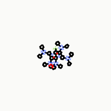 FC(F)(F)c1ccc(-c2ccc(-c3nc(-c4ccccc4)nc(-c4ccccc4)n3)cc2-n2c3ccc(-c4nc(-c5ccccc5)nc(-c5ccccc5)n4)cc3c3cc(-c4nc(-c5ccccc5)nc(-c5ccccc5)n4)ccc32)c(-n2c3ccc(-c4nc(-c5ccccc5)nc(-c5ccccc5)n4)cc3c3cc(-c4nc(-c5ccccc5)nc(-c5ccccc5)n4)ccc32)c1